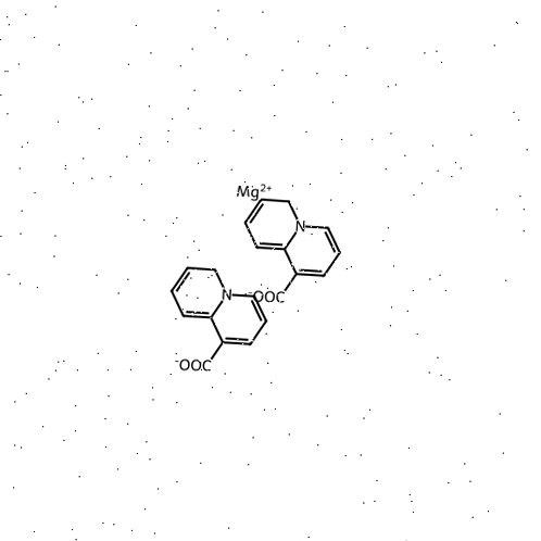 O=C([O-])C1=CC=CN2CC=CC=C12.O=C([O-])C1=CC=CN2CC=CC=C12.[Mg+2]